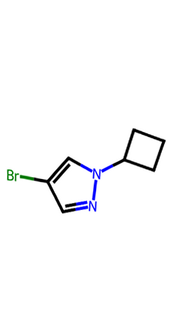 Brc1cnn(C2CCC2)c1